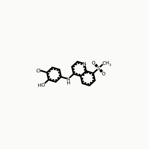 CS(=O)(=O)c1cccc2c(Nc3ccc(Cl)c(O)c3)ccnc12